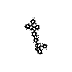 c1ccc(-c2nc(-c3ccc4c(c3)oc3cc(-n5c6ccccc6c6c(-c7ccccc7)c7ccccc7cc65)ccc34)nc3oc4ccccc4c23)cc1